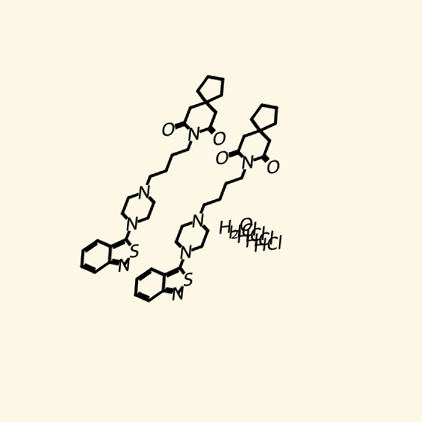 Cl.Cl.Cl.Cl.O.O=C1CC2(CCCC2)CC(=O)N1CCCCN1CCN(c2snc3ccccc23)CC1.O=C1CC2(CCCC2)CC(=O)N1CCCCN1CCN(c2snc3ccccc23)CC1